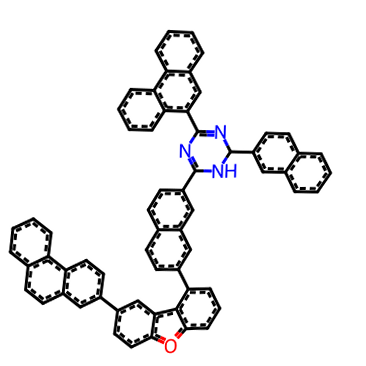 c1ccc2cc(C3N=C(c4cc5ccccc5c5ccccc45)N=C(c4ccc5ccc(-c6cccc7oc8ccc(-c9ccc%10c(ccc%11ccccc%11%10)c9)cc8c67)cc5c4)N3)ccc2c1